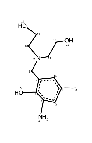 Cc1cc(N)c(O)c(CN(CCO)CCO)c1